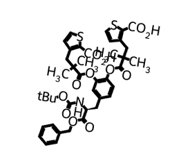 CC(C)(C)OC(=O)N[C@@H](Cc1ccc(OC(=O)C(C)(C)Cc2ccsc2C(=O)O)c(OC(=O)C(C)(C)Cc2ccsc2C(=O)O)c1)C(=O)OCc1ccccc1